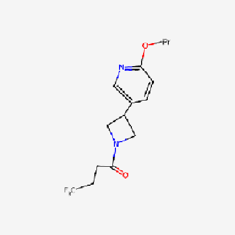 CC(C)Oc1ccc(C2CN(C(=O)CCC(F)(F)F)C2)cn1